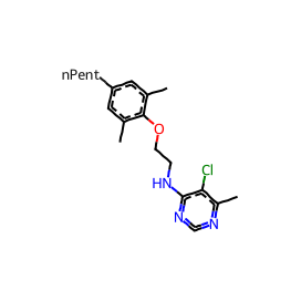 CCCCCc1cc(C)c(OCCNc2ncnc(C)c2Cl)c(C)c1